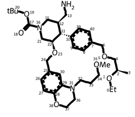 CCO[C@H](C)COCc1ccc([C@H]2[C@H](CN)CN(C(=O)OC(C)(C)C)C[C@@H]2OCc2ccc3c(c2)N(CCCOC)CCO3)cc1